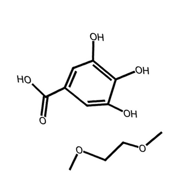 COCCOC.O=C(O)c1cc(O)c(O)c(O)c1